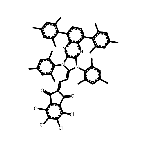 Cc1cc(C)c(-c2ccc(-c3c(C)cc(C)cc3C)c3nc4c(nc23)N(c2c(C)cc(C)cc2C)C(=CC=C2C(=O)c3c(Cl)c(Cl)c(Cl)c(Cl)c3C2=O)N4c2c(C)cc(C)cc2C)c(C)c1